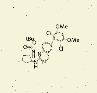 COc1cc(OC)c(Cl)c(-c2ccc3nc(NC4C[C@H](C)C[C@@H]4NC(=O)OC(C)(C)C)ncc3c2)c1Cl